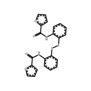 O=C(Nc1ccccc1SSc1ccccc1NC(=O)c1ccco1)c1ccco1